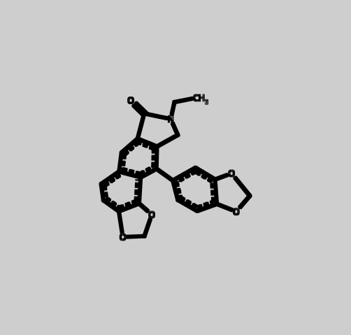 CCN1Cc2c(cc3ccc4c(c3c2-c2ccc3c(c2)OCO3)OCO4)C1=O